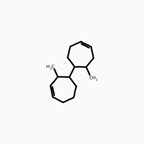 CC1C=CCCC[C]1C1CCC=CCC1C